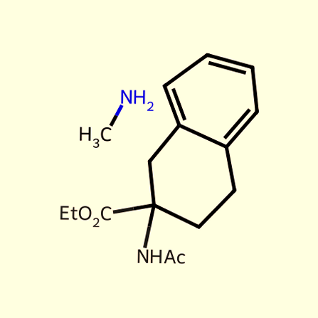 CCOC(=O)C1(NC(C)=O)CCc2ccccc2C1.CN